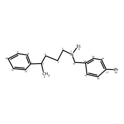 CCN(CCCC(C)c1ccccc1)Cc1ccc(C(C)C)cc1